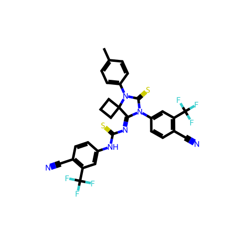 Cc1ccc(N2C(=S)N(c3ccc(C#N)c(C(F)(F)F)c3)/C(=N/C(=S)Nc3ccc(C#N)c(C(F)(F)F)c3)C23CCC3)cc1